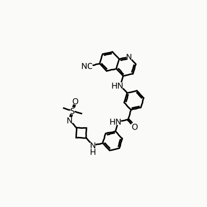 CS(C)(=O)=NC1CC(Nc2cccc(NC(=O)c3cccc(Nc4ccnc5ccc(C#N)cc45)c3)c2)C1